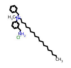 CCCCCCCCCCCCCCCCCC[N+](C)(Cc1ccccc1)c1cccc(CN)c1.[Cl-]